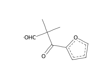 CC(C)([C]=O)C(=O)c1ccco1